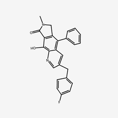 CN1Cc2c(c(O)c3ncc(Cc4ccc(F)cc4)cc3c2-c2ccccc2)C1=O